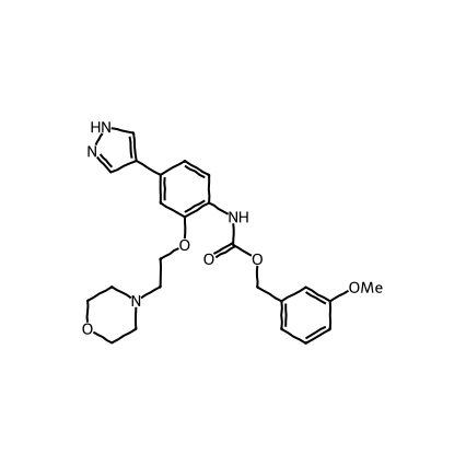 COc1cccc(COC(=O)Nc2ccc(-c3cn[nH]c3)cc2OCCN2CCOCC2)c1